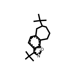 CC(C)(C)c1noc2c3c(ccc12)CC(C(C)(C)C)CCC3